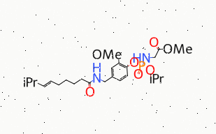 COC(=O)CNP(=O)(Oc1ccc(CNC(=O)CCCC/C=C/C(C)C)cc1OC)OC(C)C